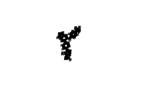 Nc1nnc(N2CCC(N3Cc4cncn4C[C@@H]3Cc3ccc(C(F)(F)F)cc3)CC2)[nH]1